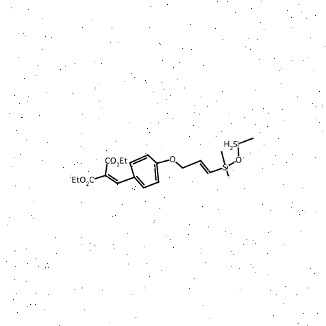 CCOC(=O)C(=Cc1ccc(OCC=C[Si](C)(C)O[SiH2]C)cc1)C(=O)OCC